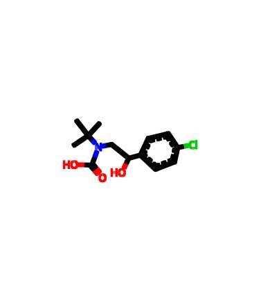 CC(C)(C)N(CC(O)c1ccc(Cl)cc1)C(=O)O